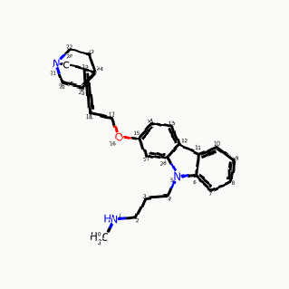 CNCCCn1c2ccccc2c2ccc(OCC=C3CN4CCC3CC4)cc21